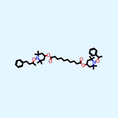 CC(CCc1ccccc1)ON1C(C)(C)CC(OC(=O)CCCCCCCCC(=O)OC2CC(C)(C)N(OC(C)c3ccccc3)C(C)(C)C2)CC1(C)C